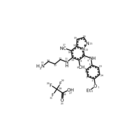 CCOc1ccc(Nc2c(C)c(NCCCN)c(C#N)c3ccnn23)cc1.O=C(O)C(F)(F)F